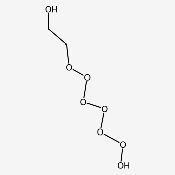 OCCOOOOOOO